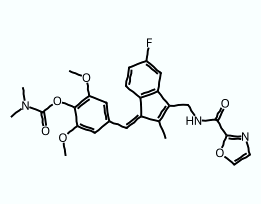 COc1cc(/C=C2/C(C)=C(CNC(=O)c3ncco3)c3cc(F)ccc32)cc(OC)c1OC(=O)N(C)C